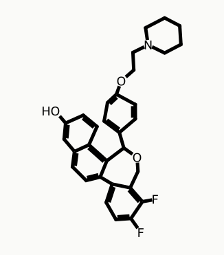 Oc1ccc2c3c(ccc2c1)-c1ccc(F)c(F)c1COC3c1ccc(OCCN2CCCCC2)cc1